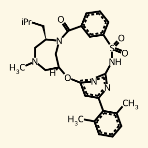 Cc1cccc(C)c1-c1cc2nc(n1)NS(=O)(=O)c1cccc(c1)C(=O)N1C[C@@H](CN(C)C[C@H]1CC(C)C)O2